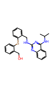 CC(C)Nc1nc(NCc2ccccc2Sc2ccccc2CO)nc2ccccc12